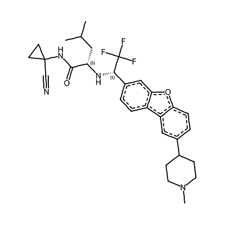 CC(C)C[C@H](N[C@@H](c1ccc2c(c1)oc1ccc(C3CCN(C)CC3)cc12)C(F)(F)F)C(=O)NC1(C#N)CC1